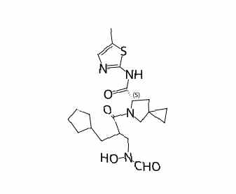 Cc1cnc(NC(=O)[C@@H]2CC3(CC3)CN2C(=O)C(CC2CCCC2)CN(O)C=O)s1